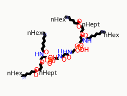 CCCCCC/C=C\CCCCCC(=O)NC(COCC[C@@H](CCCCCCC)OC(=O)CCC/C=C\CCCCCC)COP(=O)(O)OCCNC(=O)CC(=O)NCCOP(=O)(O)OCC(COCC[C@@H](CCCCCCC)OC(=O)CCC/C=C\CCCCCC)NC(=O)CCCCC/C=C\CCCCCC